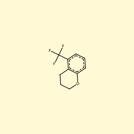 FC(F)(F)c1cccc2c1[C]CCO2